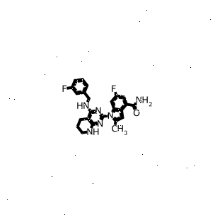 Cc1cc2c(C(N)=O)cc(F)cc2n1-c1nc2c(c(NCc3cccc(F)c3)n1)CCCN2